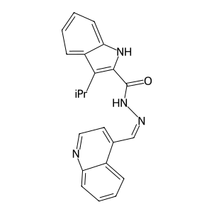 CC(C)c1c(C(=O)N/N=C\c2ccnc3ccccc23)[nH]c2ccccc12